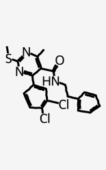 CSc1nc(C)c(C(=O)NCCc2ccccc2)c(-c2ccc(Cl)c(Cl)c2)n1